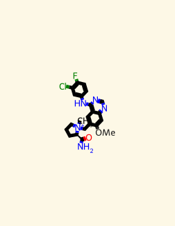 COc1cc2ncnc(Nc3ccc(F)c(Cl)c3)c2cc1C[N+]1(C)CCC[C@@H]1C(N)=O